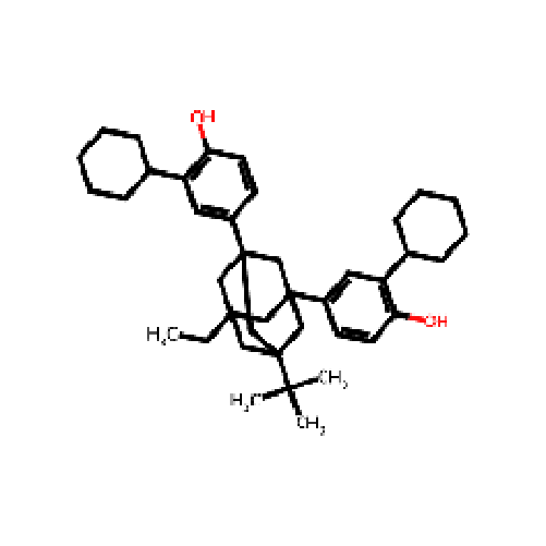 CCC12CC3(c4ccc(O)c(C5CCCCC5)c4)CC(c4ccc(O)c(C5CCCCC5)c4)(C1)CC(C(C)(C)C)(C2)C3